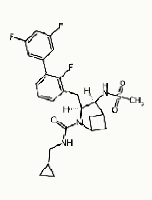 CS(=O)(=O)N[C@H]1C2CC(C2)N(C(=O)NCC2CC2)[C@H]1Cc1cccc(-c2cc(F)cc(F)c2)c1F